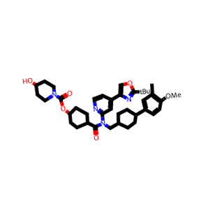 COc1ccc(C2CCC(CN(C(=O)C3CCC(OC(=O)N4CCC(O)CC4)CC3)c3cc(-c4coc(C(C)(C)C)n4)ccn3)CC2)cc1C